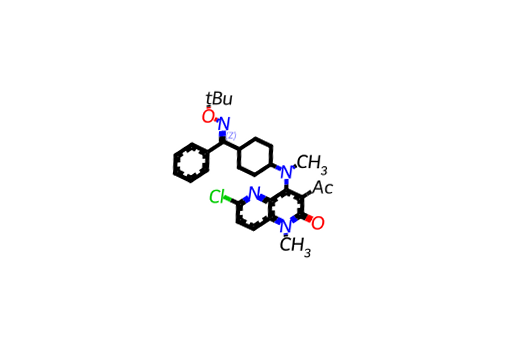 CC(=O)c1c(N(C)C2CCC(/C(=N/OC(C)(C)C)c3ccccc3)CC2)c2nc(Cl)ccc2n(C)c1=O